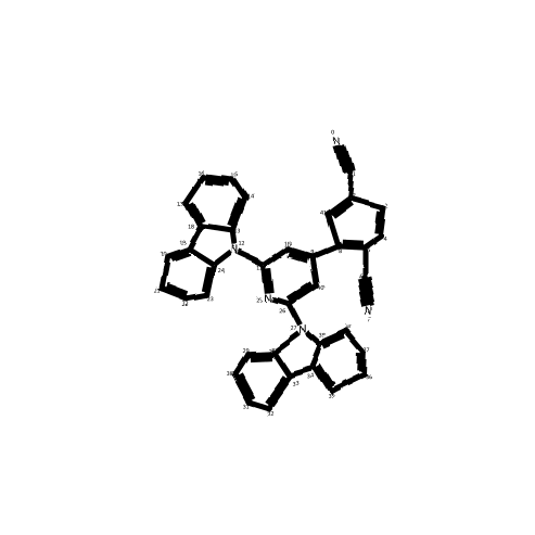 N#Cc1ccc(C#N)c(-c2cc(-n3c4ccccc4c4ccccc43)nc(-n3c4ccccc4c4ccccc43)c2)c1